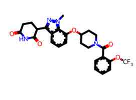 Cn1nc(C2CCC(=O)NC2=O)c2cccc(OC3CCN(C(=O)c4ccccc4OC(F)(F)F)CC3)c21